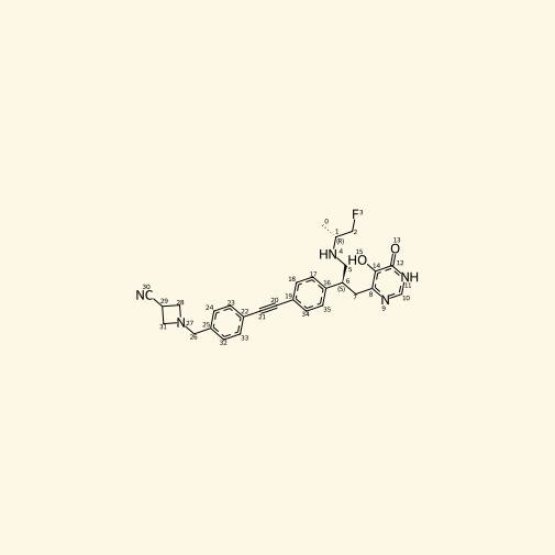 C[C@H](CF)NC[C@@H](Cc1nc[nH]c(=O)c1O)c1ccc(C#Cc2ccc(CN3CC(C#N)C3)cc2)cc1